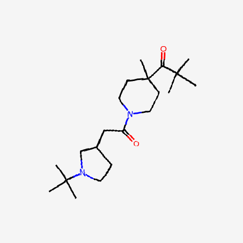 CC(C)(C)C(=O)C1(C)CCN(C(=O)CC2CCN(C(C)(C)C)C2)CC1